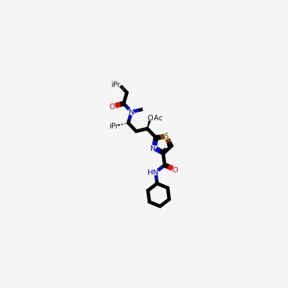 CC(=O)O[C@H](C[C@H](C(C)C)N(C)C(=O)CC(C)C)c1nc(C(=O)NC2CCCCC2)cs1